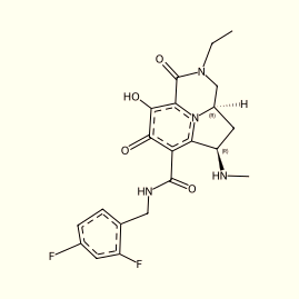 CCN1C[C@H]2C[C@@H](NC)c3c(C(=O)NCc4ccc(F)cc4F)c(=O)c(O)c(n32)C1=O